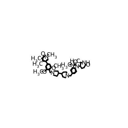 C=C1NC(=O)CCC1n1c(=O)n(C)c2cc(CN3CCC(C4CCN(Cc5c(OC)cc(-c6cn(C)c(=O)c(C)c6C)cc5OC)CC4)CC3)ccc21